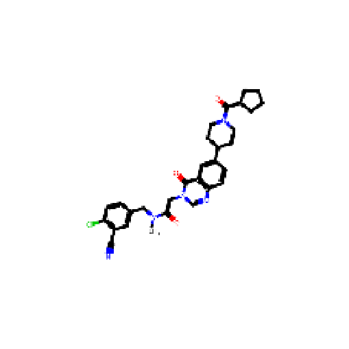 CN(Cc1ccc(Cl)c(C#N)c1)C(=O)Cn1cnc2ccc(C3CCN(C(=O)C4CCCC4)CC3)cc2c1=O